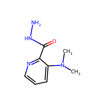 CN(C)c1cccnc1C(=O)NN